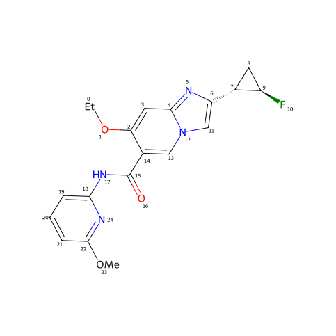 CCOc1cc2nc([C@@H]3C[C@H]3F)cn2cc1C(=O)Nc1cccc(OC)n1